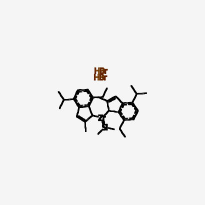 Br.Br.CCc1ccc(C(C)C)c2c1[CH]([Zr]([CH]1C(C)=Cc3c(C(C)C)ccc(CC)c31)=[Si](C)C)C(C)=C2